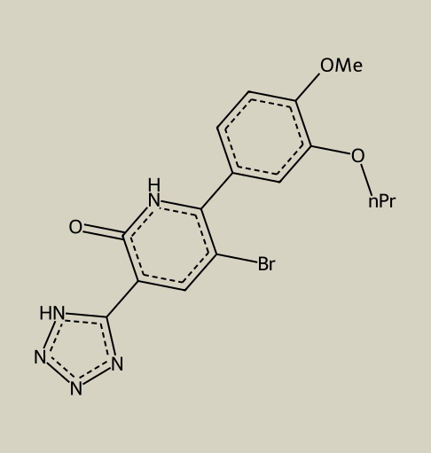 CCCOc1cc(-c2[nH]c(=O)c(-c3nnn[nH]3)cc2Br)ccc1OC